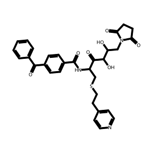 O=C(NC(CSCCc1ccncc1)C(=O)C(O)C(O)CN1C(=O)CCC1=O)c1ccc(C(=O)c2ccccc2)cc1